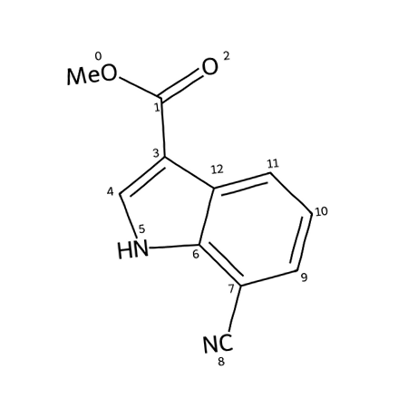 COC(=O)c1c[nH]c2c(C#N)cccc12